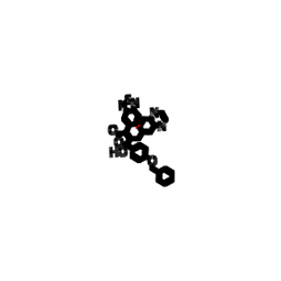 O=C1OC(O)(c2ccc(OCc3ccccc3)cc2)C(Cc2ccc3nccnc3c2)=C1c1ccc2nsnc2c1